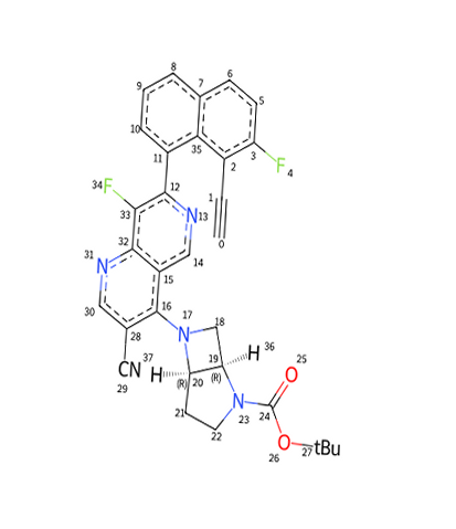 C#Cc1c(F)ccc2cccc(-c3ncc4c(N5C[C@@H]6[C@H]5CCN6C(=O)OC(C)(C)C)c(C#N)cnc4c3F)c12